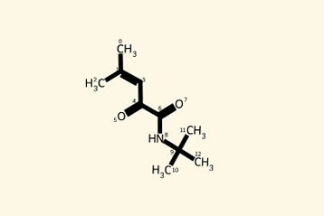 CC(C)=CC(=O)C(=O)NC(C)(C)C